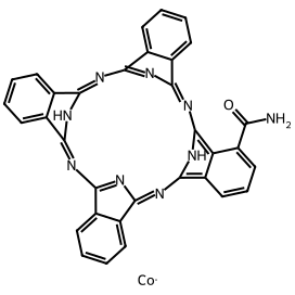 NC(=O)c1cccc2c3nc4nc(nc5[nH]c(nc6nc(nc([nH]3)c12)-c1ccccc1-6)c1ccccc51)-c1ccccc1-4.[Co]